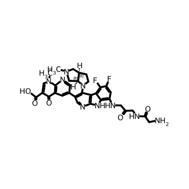 CN1C[C@H]2CCN(c3c(-c4cnc5c(c4)c(=O)c(C(=O)O)cn5C)cnc4[nH]c5c(NCC(=O)CNC(=O)CN)cc(F)c(F)c5c34)[C@H]2C1